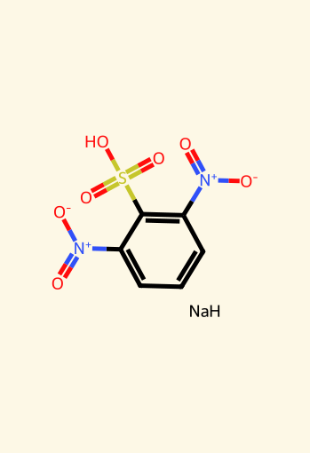 O=[N+]([O-])c1cccc([N+](=O)[O-])c1S(=O)(=O)O.[NaH]